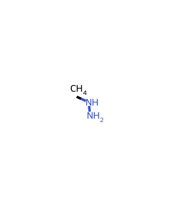 C.CNN